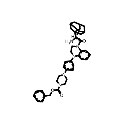 NC(=O)C12CC3CC(C1)C(NC(=O)N1CCN(c4ccc(N5CCN(C(=O)OCc6ccccc6)CC5)cc4)c4ccccc41)C(C3)C2